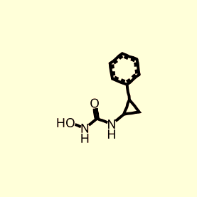 O=C(NO)NC1CC1c1ccccc1